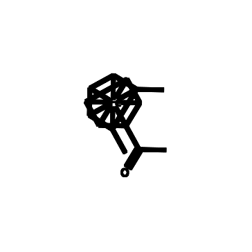 CC(=O)[C]12[CH]3[CH]4[CH]5[CH]1[Fe]45321678[CH]2[CH]1[C]6(C)[C]7(C)[CH]28